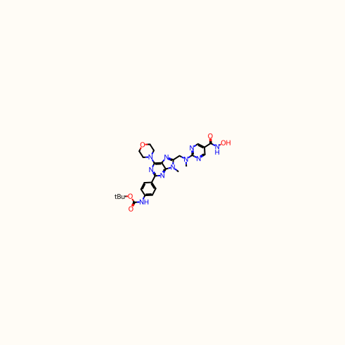 CN(Cc1nc2c(N3CCOCC3)nc(-c3ccc(NC(=O)OC(C)(C)C)cc3)nc2n1C)c1ncc(C(=O)NO)cn1